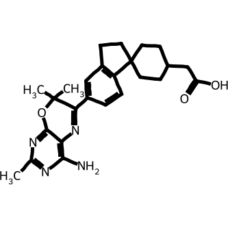 Cc1nc(N)c2c(n1)OC(C)(C)C(c1ccc3c(c1)CCC31CCC(CC(=O)O)CC1)=N2